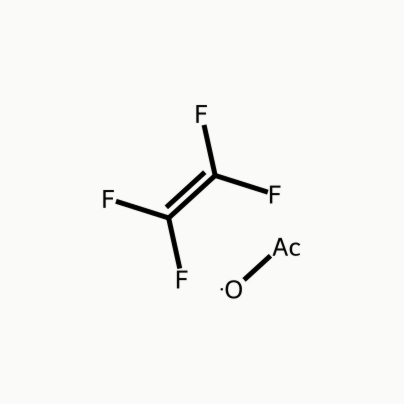 CC([O])=O.FC(F)=C(F)F